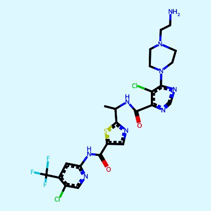 CC(NC(=O)c1ncnc(N2CCN(CCN)CC2)c1Cl)c1ncc(C(=O)Nc2cc(C(F)(F)F)c(Cl)cn2)s1